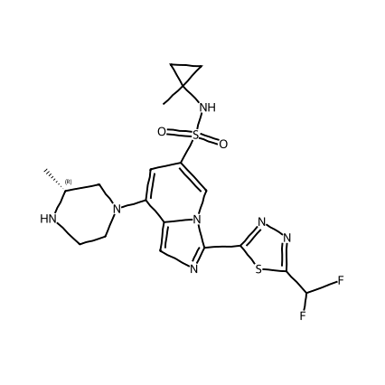 C[C@@H]1CN(c2cc(S(=O)(=O)NC3(C)CC3)cn3c(-c4nnc(C(F)F)s4)ncc23)CCN1